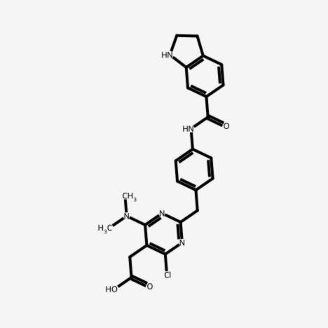 CN(C)c1nc(Cc2ccc(NC(=O)c3ccc4c(c3)NCC4)cc2)nc(Cl)c1CC(=O)O